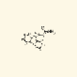 NC(=O)CC1CC1(c1ccccc1)c1ccccc1